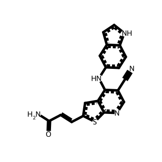 N#Cc1cnc2sc(C=CC(N)=O)cc2c1Nc1ccc2[nH]ccc2c1